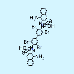 Nc1c(/N=N/c2c(Br)cc(-c3cc(Br)c(/N=N/c4c(S(=O)(=O)O)cc5ccccc5c4N)c(Br)c3)cc2Br)c(S(=O)(=O)O)cc2ccccc12